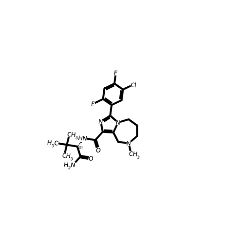 CN1CCCn2c(-c3cc(Cl)c(F)cc3F)nc(C(=O)N[C@H](C(N)=O)C(C)(C)C)c2C1